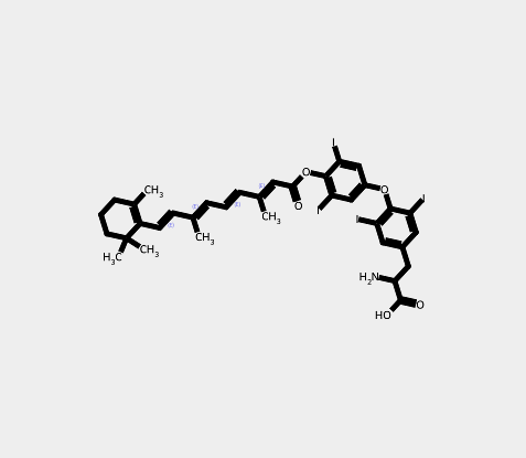 CC1=C(/C=C/C(C)=C/C=C/C(C)=C/C(=O)Oc2c(I)cc(Oc3c(I)cc(CC(N)C(=O)O)cc3I)cc2I)C(C)(C)CCC1